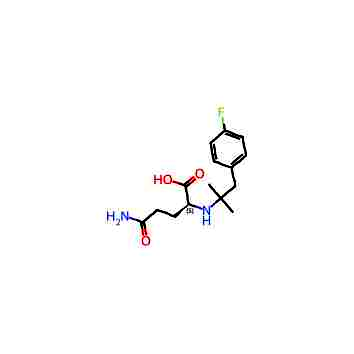 CC(C)(Cc1ccc(F)cc1)N[C@@H](CCC(N)=O)C(=O)O